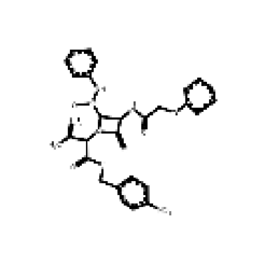 C=C(C)C(C(=O)OCc1ccc([N+](=O)[O-])cc1)N1C(=O)C(NC(=O)COc2ccccc2)C1[S+]([O-])Nc1ccccc1